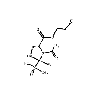 CC(C)NC(C(C)C)(N(CC(=O)OCCCl)C(=O)C(F)(F)F)P(=O)(O)O